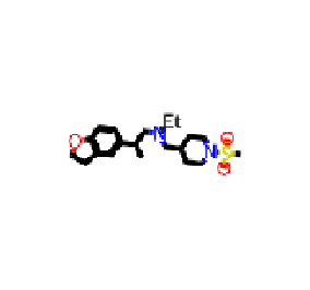 CCN(CC1CCN(S(C)(=O)=O)CC1)CC(C)c1ccc2c(c1)CCO2